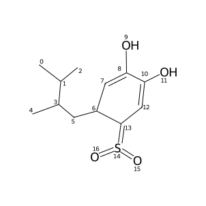 CC(C)C(C)CC1C=C(O)C(O)=CC1=S(=O)=O